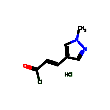 Cl.Cn1cc(C=CC(=O)Cl)cn1